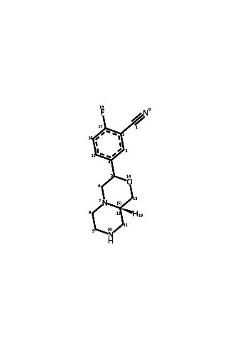 N#Cc1cc(C2CN3CCNC[C@H]3CO2)ccc1F